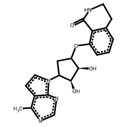 Cc1ncnc2c1ccn2C1CC(Oc2cccc3c2C(=O)NCC3)[C@@H](O)[C@H]1O